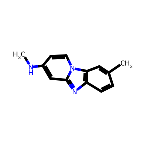 CNc1ccn2c(c1)nc1ccc(C)cc12